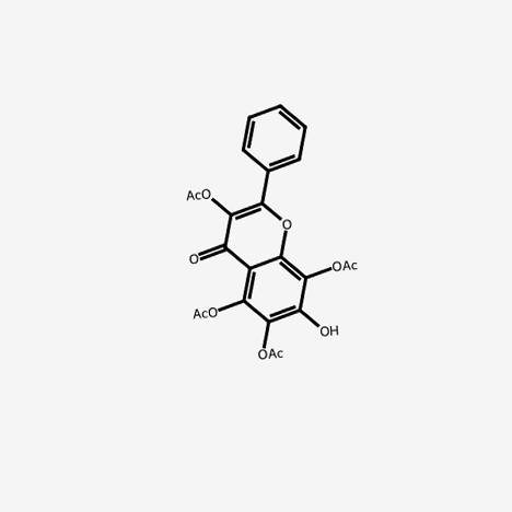 CC(=O)Oc1c(O)c(OC(C)=O)c2oc(-c3ccccc3)c(OC(C)=O)c(=O)c2c1OC(C)=O